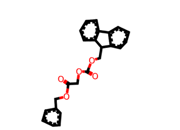 O=C(COC(=O)OCC1c2ccccc2-c2ccccc21)OCc1ccccc1